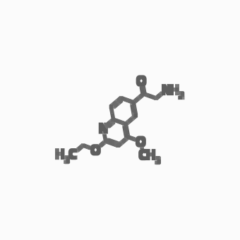 CCOc1cc(OC)c2cc(C(=O)CN)ccc2n1